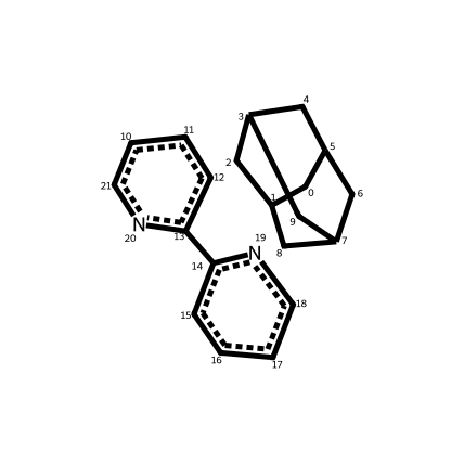 C1C2CC3CC1CC(C2)C3.c1ccc(-c2ccccn2)nc1